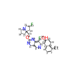 CCc1cccc2c(-c3ncc4cnc(OC[C@@]56CCCN5C[C@H](F)C6)nc4c3F)c(O)ccc12